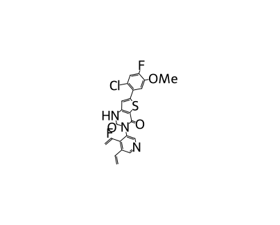 C=Cc1cncc(-n2c(=O)[nH]c3cc(-c4cc(OC)c(F)cc4Cl)sc3c2=O)c1C(=C)F